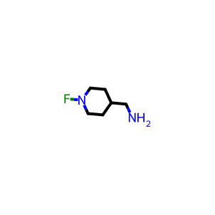 NCC1CCN(F)CC1